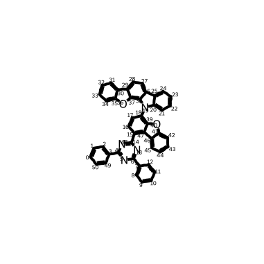 c1ccc(-c2nc(-c3ccccc3)nc(-c3ccc(-n4c5ccccc5c5ccc6c7ccccc7oc6c54)c4oc5ccccc5c34)n2)cc1